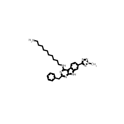 Cn1nnc(-c2ccc3c(c2)[nH]c2nc(Cc4ccccc4)nc(NCCCCCCCCCCN)c23)n1